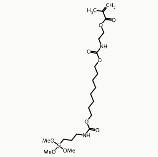 C=C(C)C(=O)OCCNC(=O)OCCCCCCCCOC(=O)NCCC[Si](OC)(OC)OC